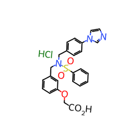 Cl.O=C(O)COc1cccc(CN(Cc2ccc(-n3ccnc3)cc2)S(=O)(=O)c2ccccc2)c1